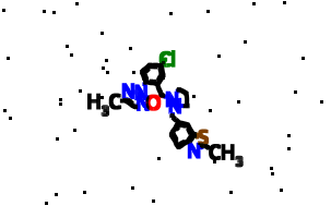 Cc1cnn(-c2ccc(Cl)cc2C(=O)N2CCCN2Cc2ccc3nc(C)sc3c2)n1